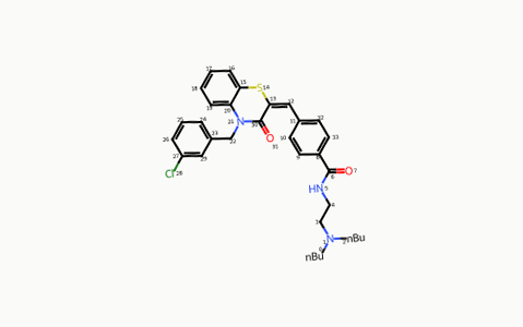 CCCCN(CCCC)CCNC(=O)c1ccc(/C=C2/Sc3ccccc3N(Cc3cccc(Cl)c3)C2=O)cc1